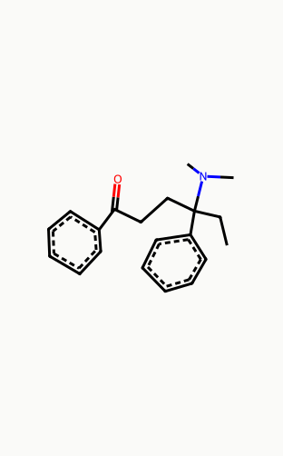 CCC(CCC(=O)c1ccccc1)(c1ccccc1)N(C)C